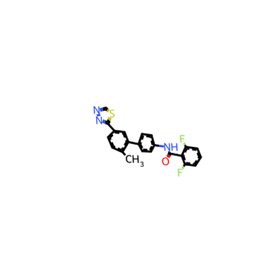 Cc1ccc(-c2nncs2)cc1-c1ccc(NC(=O)c2c(F)cccc2F)cc1